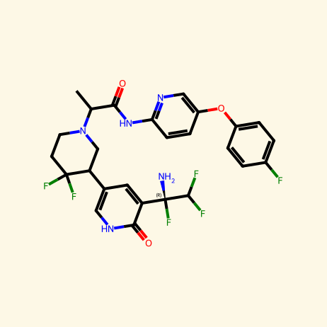 CC(C(=O)Nc1ccc(Oc2ccc(F)cc2)cn1)N1CCC(F)(F)C(c2c[nH]c(=O)c([C@@](N)(F)C(F)F)c2)C1